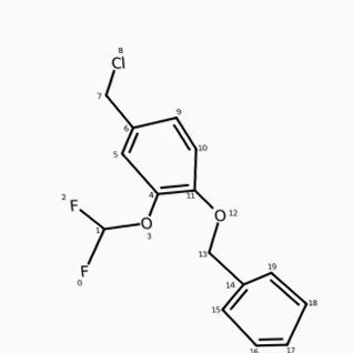 FC(F)Oc1cc(CCl)ccc1OCc1ccccc1